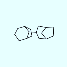 [C]1CC2CCC(C1)C2C1CC2[C]C(CC2)C1